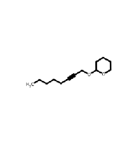 CCCCCC#CCOC1CCCCO1